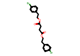 O=C(CCC(=O)OCCc1ccc(Br)cc1)OCCc1ccc(Br)cc1